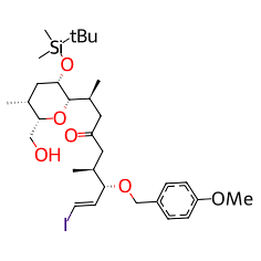 COc1ccc(CO[C@H](/C=C/I)[C@@H](C)CC(=O)C[C@H](C)[C@@H]2O[C@H](CO)[C@H](C)C[C@@H]2O[Si](C)(C)C(C)(C)C)cc1